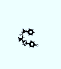 Clc1ccc(-c2noc(C3(CNC4CC4c4ccccc4)CC3)n2)cc1